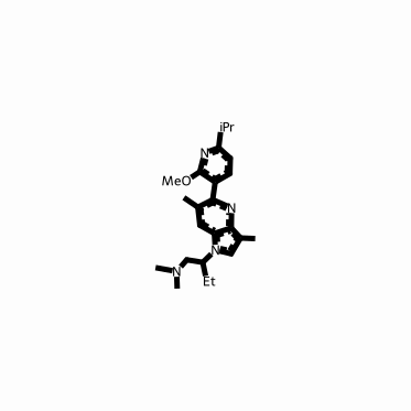 CCC(CN(C)C)n1cc(C)c2nc(-c3ccc(C(C)C)nc3OC)c(C)cc21